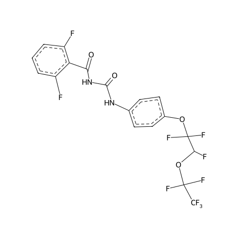 O=C(NC(=O)c1c(F)cccc1F)Nc1ccc(OC(F)(F)C(F)OC(F)(F)C(F)(F)F)cc1